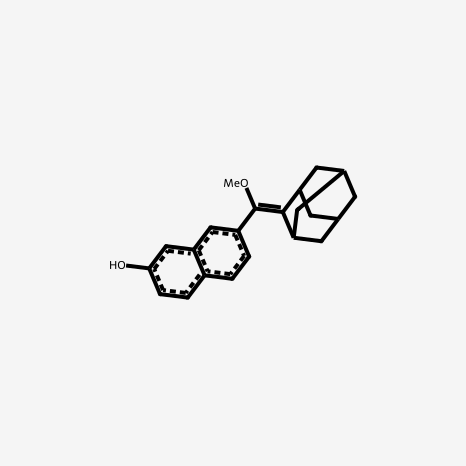 COC(=C1C2CC3CC(C2)CC1C3)c1ccc2ccc(O)cc2c1